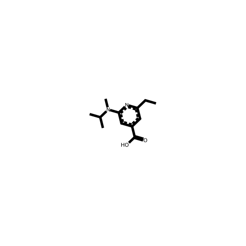 CCc1cc(C(=O)O)cc(N(C)C(C)C)n1